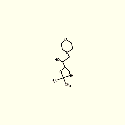 CC1(C)NCC(C(O)CN2CCOCC2)O1